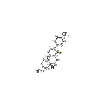 CCC[C@@H]1CC[C@@H]2c3ccc(-c4ccc(C(F)(F)F)cc4)c(F)c3CC[C@@H]2C1